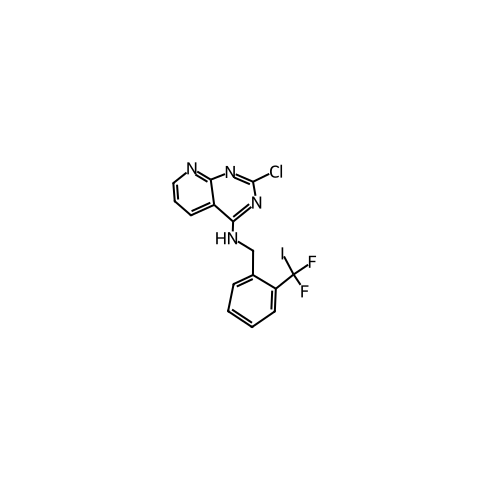 FC(F)(I)c1ccccc1CNc1nc(Cl)nc2ncccc12